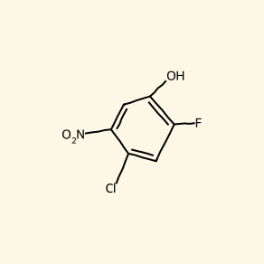 O=[N+]([O-])c1cc(O)c(F)cc1Cl